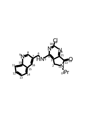 CC(C)N1Cc2c(NCc3cnc4ccccc4c3)nc(Cl)nc2C1=O